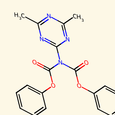 Cc1nc(C)nc(N(C(=O)Oc2ccccc2)C(=O)Oc2ccccc2)n1